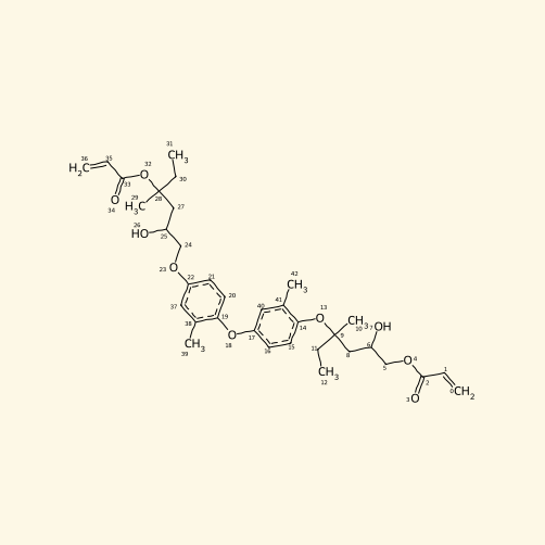 C=CC(=O)OCC(O)CC(C)(CC)Oc1ccc(Oc2ccc(OCC(O)CC(C)(CC)OC(=O)C=C)cc2C)cc1C